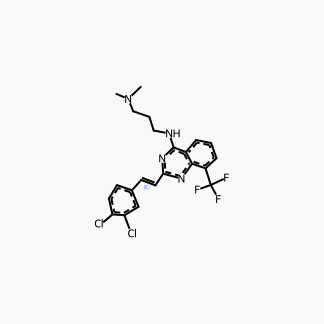 CN(C)CCCNc1nc(/C=C/c2ccc(Cl)c(Cl)c2)nc2c(C(F)(F)F)cccc12